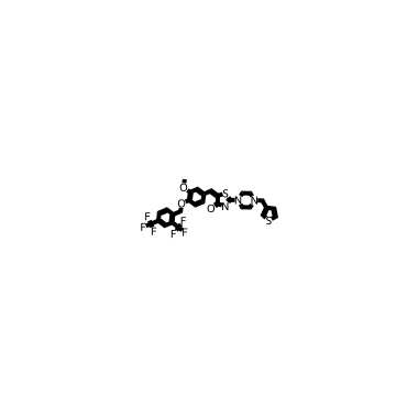 COc1cc(C=C2SC(N3CCN(Cc4ccsc4)CC3)=NC2=O)ccc1OCc1ccc(C(F)(F)F)cc1C(F)(F)F